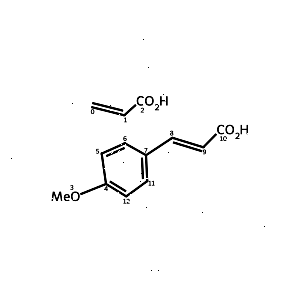 C=CC(=O)O.COc1ccc(C=CC(=O)O)cc1